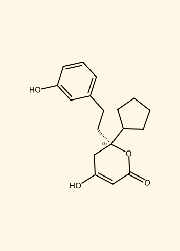 O=C1C=C(O)C[C@@](CCc2cccc(O)c2)(C2CCCC2)O1